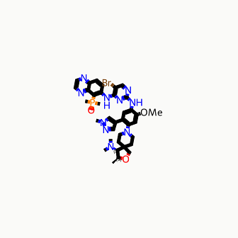 COc1cc(N2CCC3(CC2)CO[C@@H](C)[C@H]3N(C)C)c(-c2cnn(C)c2)cc1Nc1ncc(Br)c(Nc2ccc3nccnc3c2P(C)(C)=O)n1